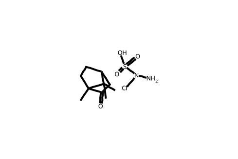 CC12CCC(CC1=O)C2(C)C.NN(Cl)S(=O)(=O)O